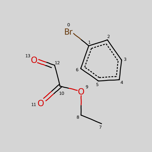 Brc1ccccc1.CCOC(=O)C=O